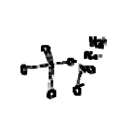 O=S(=O)([O-])[O-].O=[NH+][O-].[Na+].[Na+]